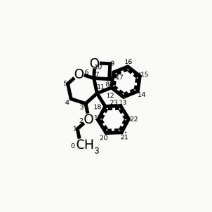 CCOC1CCOC2(CCO2)C1(c1cc[c]cc1)c1cc[c]cc1